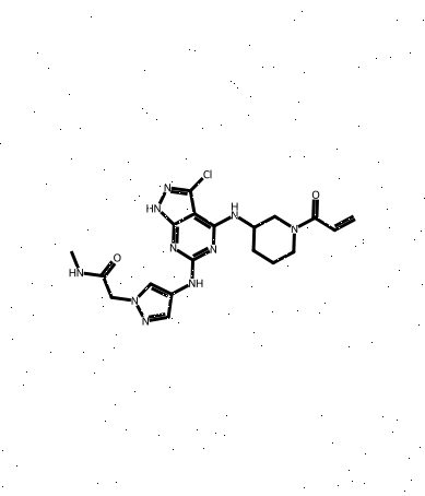 C=CC(=O)N1CCCC(Nc2nc(Nc3cnn(CC(=O)NC)c3)nc3[nH]nc(Cl)c23)C1